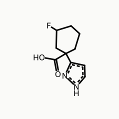 O=C(O)C1(c2cc[nH]n2)CCCC(F)C1